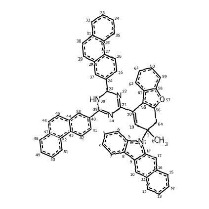 CC1(n2c3ccccc3c3cc4ccccc4cc32)C=C(C2=NC(c3ccc4c(ccc5ccccc54)c3)NC(c3ccc4c(ccc5ccccc54)c3)=N2)c2c(oc3ccccc23)C1